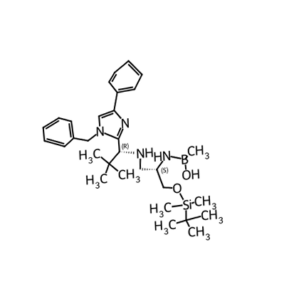 CB(O)N[C@@H](CN[C@@H](c1nc(-c2ccccc2)cn1Cc1ccccc1)C(C)(C)C)CO[Si](C)(C)C(C)(C)C